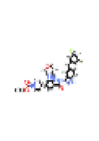 CC(C)(C)OC(=O)N1CCC(c2ccc(C(=O)Nc3n[nH]c4ccc(Cc5cc(F)cc(F)c5)cc34)c(NC3CCOCC3)c2)CC1